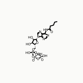 CCCCC(=O)Nc1ncnc2c1ncn2[C@@H]1O[C@H](COP(=O)(O)OP(=O)(O)OP(=O)(O)O)[C@@H](O)[C@H]1O